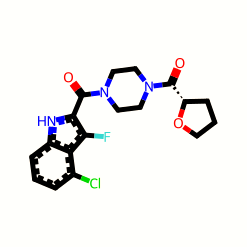 O=C(c1[nH]c2cccc(Cl)c2c1F)N1CCN(C(=O)[C@@H]2CCCO2)CC1